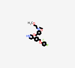 COCCCN1CCOc2ccc(COC3CNCCC3c3ccc(COc4ccc(F)cc4F)cc3)cc21